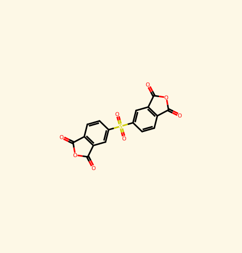 O=C1OC(=O)c2cc(S(=O)(=O)c3ccc4c(c3)C(=O)OC4=O)ccc21